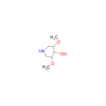 COC1CNCC(OC)[C]1O